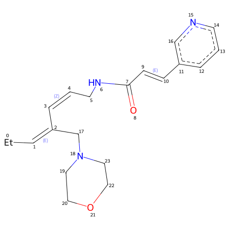 CC/C=C(\C=C/CNC(=O)/C=C/c1cccnc1)CN1CCOCC1